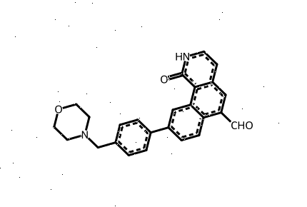 O=Cc1cc2cc[nH]c(=O)c2c2cc(-c3ccc(CN4CCOCC4)cc3)ccc12